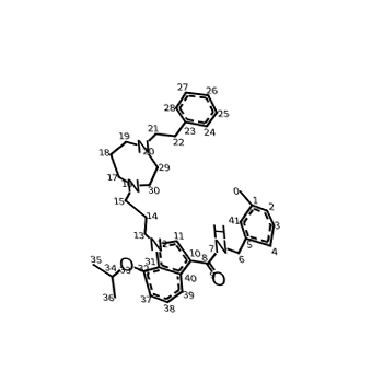 Cc1cccc(CNC(=O)c2cn(CCCN3CCCN(CCc4ccccc4)CC3)c3c(OC(C)C)cccc23)c1